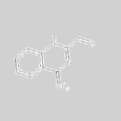 C=C1N=C(C=S)Nc2ccccc21